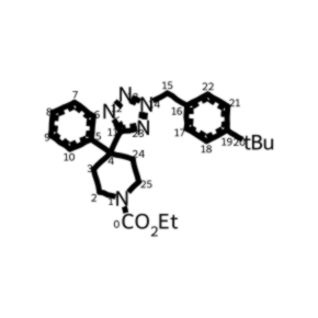 CCOC(=O)N1CCC(c2ccccc2)(c2nnn(Cc3ccc(C(C)(C)C)cc3)n2)CC1